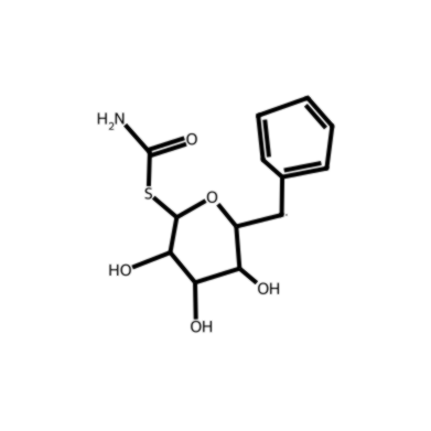 NC(=O)SC1OC([CH]c2ccccc2)C(O)C(O)C1O